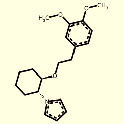 COc1ccc(CCO[C@@H]2CCCC[C@H]2n2cccc2)cc1OC